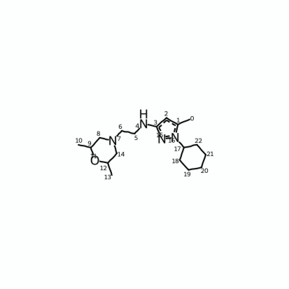 Cc1cc(NCCN2CC(C)OC(C)C2)nn1C1CCCCC1